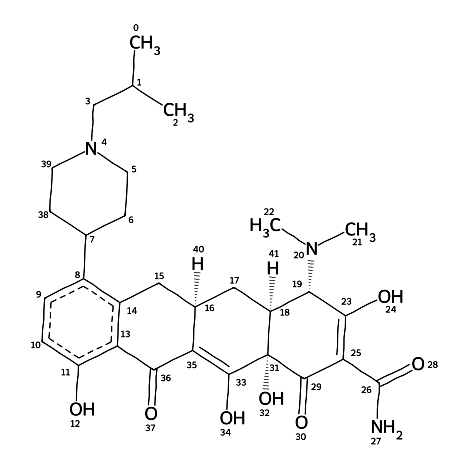 CC(C)CN1CCC(c2ccc(O)c3c2C[C@H]2C[C@H]4[C@H](N(C)C)C(O)=C(C(N)=O)C(=O)[C@@]4(O)C(O)=C2C3=O)CC1